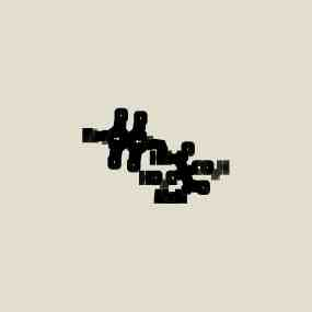 CCN1C(=O)C2(C1=O)C(=O)N(CNC(=O)C(C(=O)O)(C(=O)O)C(=O)NC)C2=O